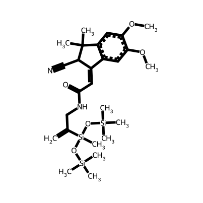 C=C(CNC(=O)C=C1c2cc(OC)c(OC)cc2C(C)(C)C1C#N)[Si](C)(O[Si](C)(C)C)O[Si](C)(C)C